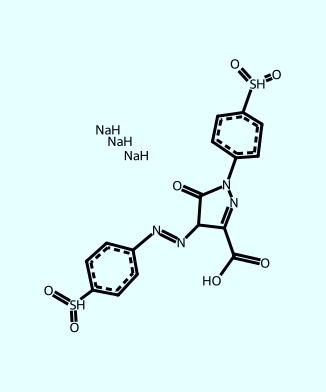 O=C(O)C1=NN(c2ccc([SH](=O)=O)cc2)C(=O)C1N=Nc1ccc([SH](=O)=O)cc1.[NaH].[NaH].[NaH]